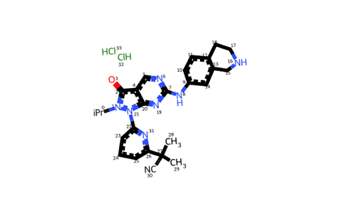 CC(C)n1c(=O)c2cnc(Nc3ccc4c(c3)CNCC4)nc2n1-c1cccc(C(C)(C)C#N)n1.Cl.Cl